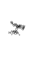 CC(C)NC(=O)C1CCC(n2/c(=N/C(=O)c3ccc(F)c(C(F)(F)F)c3)[nH]c3cnc(OCCN4CCCCC4)cc32)CC1